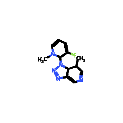 CC1C=NC=C2N=NN(C3C(F)=CC=CN3C)C21